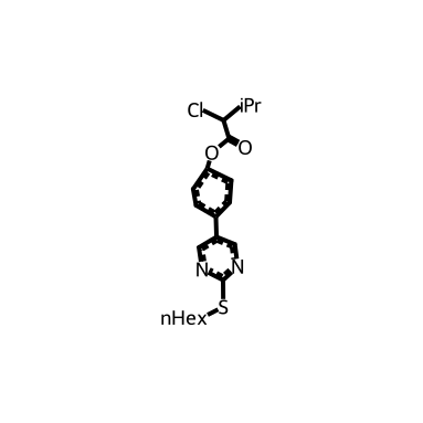 CCCCCCSc1ncc(-c2ccc(OC(=O)C(Cl)C(C)C)cc2)cn1